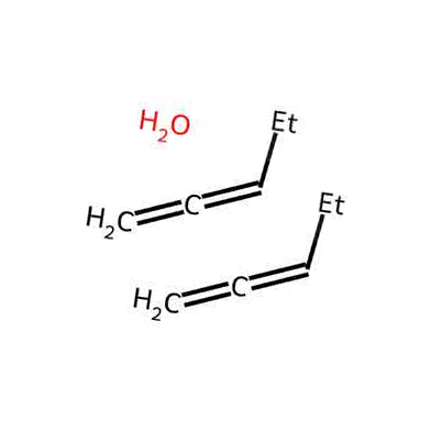 C=C=CCC.C=C=CCC.O